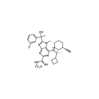 C#C[C@H]1CC[C@H](Cn2c(C(C)(O)c3cccc(F)c3)nc3nc(C(=N)NC(=O)O)nc(N[C@H](C)C4CCC4)c32)CC1